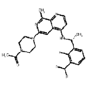 CC(=O)N1CCN(c2cc3c(N[C@H](C)c4cccc(C(F)F)c4F)ccnc3c(C)n2)CC1